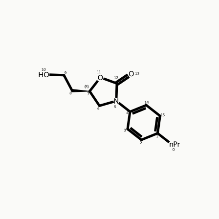 CCCc1ccc(N2C[C@@H](CCO)OC2=O)cc1